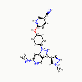 CNc1cc2c(cn1)c(-c1cnn(C)c1)nn2C1CCC(Oc2ccc(C#N)cn2)CC1